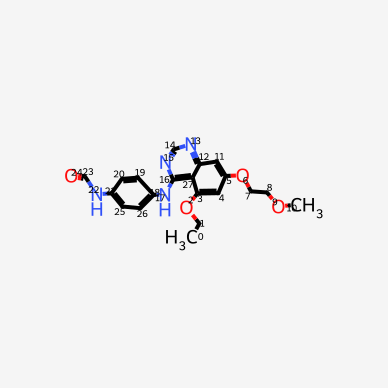 CCOc1cc(OCCOC)cc2ncnc(Nc3ccc(NC=O)cc3)c12